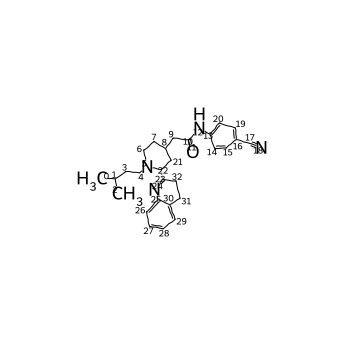 CC(C)CCN1CCC(CC(=O)Nc2ccc(C#N)cc2)C[C@@H]1C1=Nc2ccccc2CC1